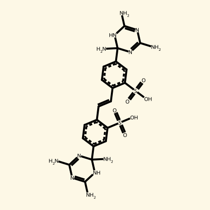 NC1=NC(N)(c2ccc(/C=C/c3ccc(C4(N)N=C(N)N=C(N)N4)cc3S(=O)(=O)O)c(S(=O)(=O)O)c2)NC(N)=N1